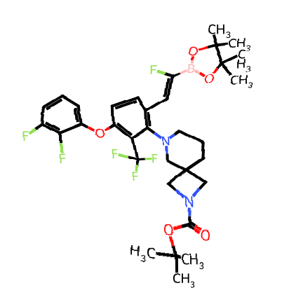 CC(C)(C)OC(=O)N1CC2(CCCN(c3c(/C=C(\F)B4OC(C)(C)C(C)(C)O4)ccc(Oc4cccc(F)c4F)c3C(F)(F)F)C2)C1